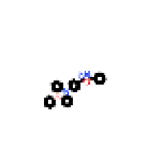 c1ccc(B2c3ccccc3N(c3ccc(-c4nnc(-c5ccccc5)o4)cc3)c3ccccc32)cc1